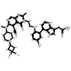 Cc1nc2cnc(N(C)C3CCN(C4CC(F)(F)C4)CC3)c(C#N)c2c(=O)n1CCOc1ccc(Cl)cc1-c1ccnc2c(CC(=O)O)csc12